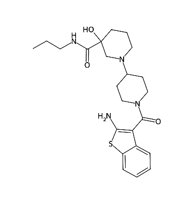 CCCNC(=O)C1(O)CCCN(C2CCN(C(=O)c3c(N)sc4ccccc34)CC2)C1